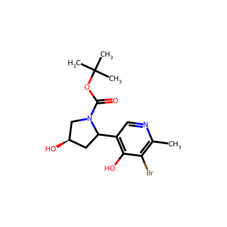 Cc1ncc(C2C[C@@H](O)CN2C(=O)OC(C)(C)C)c(O)c1Br